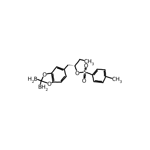 BC1(B)Oc2ccc(C[C@H](CC)OS(=O)(=O)c3ccc(C)cc3)cc2O1